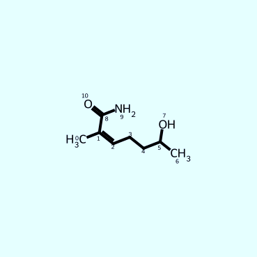 CC(=CCCC(C)O)C(N)=O